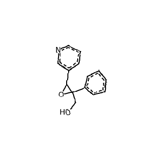 OCC1(c2ccccc2)OC1c1cccnc1